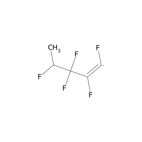 CC(F)C(F)(F)/C(F)=[C]\F